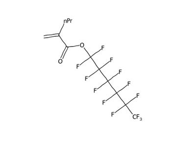 C=C(CCC)C(=O)OC(F)(F)C(F)(F)C(F)(F)C(F)(F)C(F)(F)C(F)(F)F